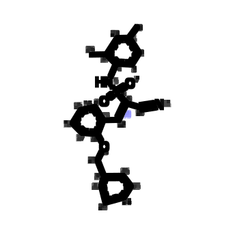 Cc1ccc(NS(=O)(=O)/C(C#N)=C\c2ccccc2OCc2ccccc2)c(C)c1